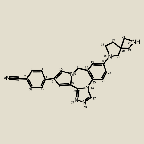 N#Cc1ccc(-c2cc3n(c2)Cc2cc(N4CCC5(CNC5)C4)ccc2-n2cnnc2-3)cc1